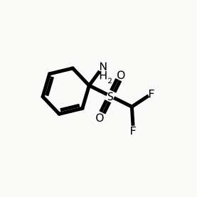 NC1(S(=O)(=O)C(F)F)C=CC=CC1